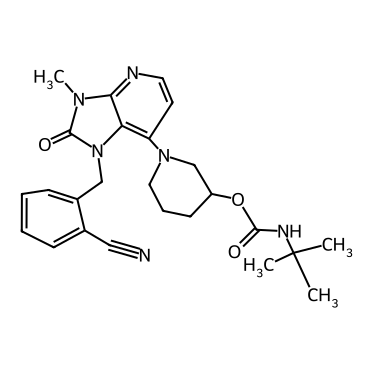 Cn1c(=O)n(Cc2ccccc2C#N)c2c(N3CCCC(OC(=O)NC(C)(C)C)C3)ccnc21